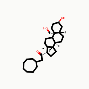 C[C@]12CCC3[C@@H](CC[C@H]4C[C@H](O)CC[C@]34CO)[C@@H]1CC[C@@H]2C(=O)CC1CCCCCCC1